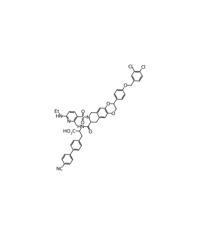 CCNc1ccc(S(=O)(=O)N2Cc3cc4c(cc3CC2C(=O)NC(Cc2ccc(-c3ccc(C#N)cc3)cc2)C(=O)O)OCC(c2ccc(OCc3ccc(Cl)c(Cl)c3)cc2)O4)c(C)n1